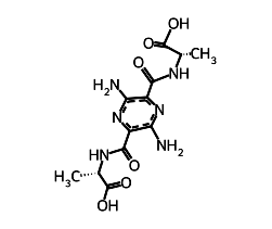 C[C@H](NC(=O)c1nc(N)c(C(=O)N[C@@H](C)C(=O)O)nc1N)C(=O)O